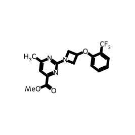 COC(=O)c1cc(C)nc(N2CC(Oc3ccccc3C(F)(F)F)C2)n1